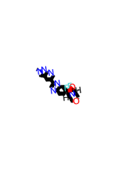 Cn1cc2cc(-c3cnc4ccc(C(=O)N5[C@@H]6COC[C@@H]5CC(F)(F)C6)cc4n3)cnc2n1